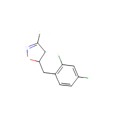 CCOC(=O)C1=NOC(Cc2ccc(Cl)cc2Cl)C1